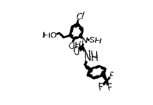 O=C(NCc1ccc(C(F)(F)F)cc1)N(S)c1cc(Cl)cc(CCO)c1O